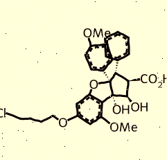 COc1ccc([C@@]23Oc4cc(OCCCCCl)cc(OC)c4[C@]2(O)[C@H](O)[C@H](C(=O)O)[C@H]3c2ccccc2)cc1